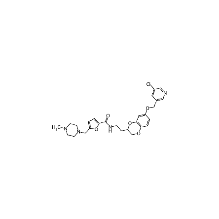 CN1CCN(Cc2ccc(C(=O)NCCC3COc4ccc(OCc5cncc(Cl)c5)cc4O3)o2)CC1